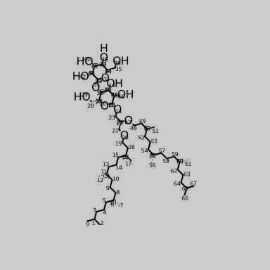 CC(C)CCC[C@@H](C)CCC[C@H](C)CCC[C@H](C)CCOC[C@@H](CO[C@H]1O[C@H](CO)[C@@H](O[C@@H]2O[C@H](CO)[C@H](O)[C@H](O)[C@H]2O)[C@H](O)[C@H]1O)OCC[C@@H](C)CCC[C@@H](C)CCC[C@H](C)CCCC(C)C